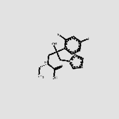 CC[C@H](CC(O)(Cn1cncn1)c1ccc(F)cc1F)C(=O)O